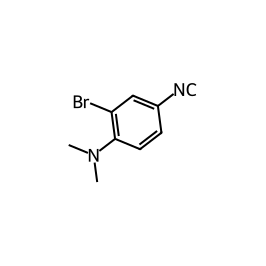 [C-]#[N+]c1ccc(N(C)C)c(Br)c1